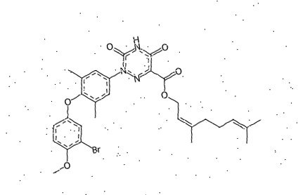 COc1ccc(Oc2c(C)cc(-n3nc(C(=O)OCC=C(C)CCC=C(C)C)c(=O)[nH]c3=O)cc2C)cc1Br